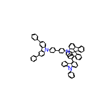 c1ccc(-c2ccc3c(c2)c2cc(-c4ccccc4)ccc2n3-c2ccc(-c3ccc(N(c4ccc(-c5cccc6c5c5ccccc5n6-c5ccccc5)cc4)c4cccc5c4C4(c6ccccc6-c6ccccc64)c4ccccc4-5)cc3)cc2)cc1